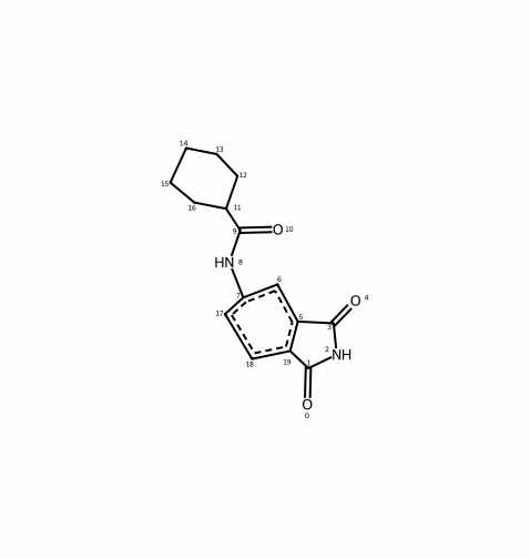 O=C1NC(=O)c2cc(NC(=O)C3CCCCC3)ccc21